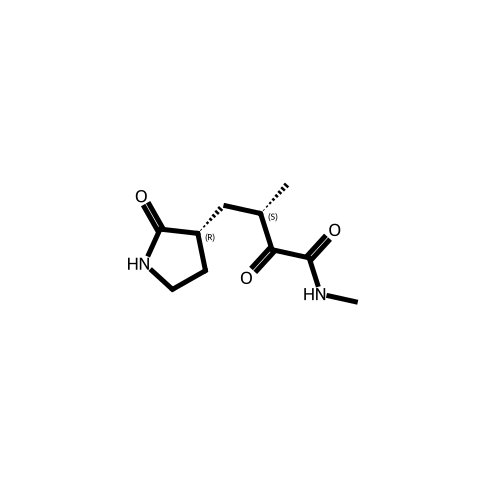 CNC(=O)C(=O)[C@@H](C)C[C@@H]1CCNC1=O